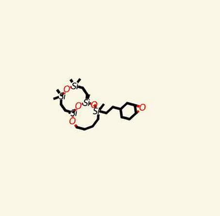 C[Si]1(C)CC[Si]2(C)OCCCC[Si](C)(CCC3CCC4OC4C3)O[Si](C)(CC[Si](C)(C)O1)O2